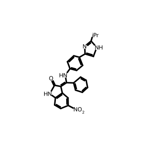 CC(C)c1nc(-c2ccc(N/C(=C3\C(=O)Nc4ccc([N+](=O)[O-])cc43)c3ccccc3)cc2)c[nH]1